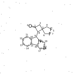 O=C1CC(CF)(CF)C1C1c2ccccc2-c2cncn21